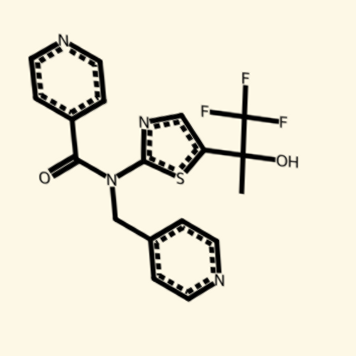 CC(O)(c1cnc(N(Cc2ccncc2)C(=O)c2ccncc2)s1)C(F)(F)F